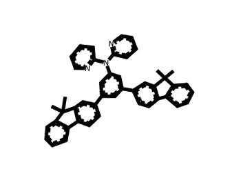 CC1(C)c2ccccc2-c2ccc(-c3cc(-c4ccc5c(c4)C(C)(C)c4ccccc4-5)cc(N(c4ccccn4)c4ccccn4)c3)cc21